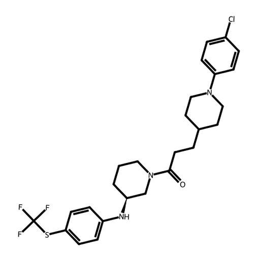 O=C(CCC1CCN(c2ccc(Cl)cc2)CC1)N1CCC[C@H](Nc2ccc(SC(F)(F)F)cc2)C1